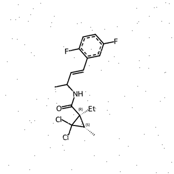 CC[C@]1(C(=O)NC(C)C=Cc2cc(F)ccc2F)[C@H](C)C1(Cl)Cl